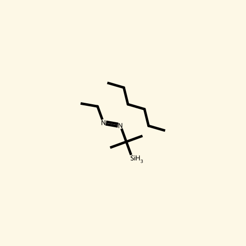 CCCCCC.CCN=NC(C)(C)[SiH3]